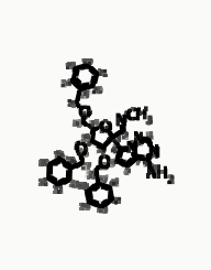 CN=C[C@@]1(c2ccc3c(N)ncnn23)O[C@H](COCc2ccccc2)[C@@H](OCc2ccccc2)[C@H]1OCc1ccccc1